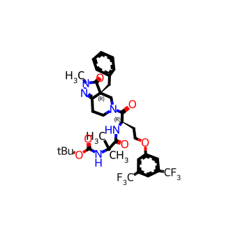 CN1N=C2CCN(C(=O)[C@@H](CCOc3cc(C(F)(F)F)cc(C(F)(F)F)c3)NC(=O)C(C)(C)NC(=O)OC(C)(C)C)C[C@@]2(Cc2ccccc2)C1=O